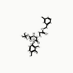 Cc1cccc(COC(=O)CC[C@@H](NC(=O)OC(C)(C)C)C(=O)Nc2ccc(C)c(C)c2C)c1